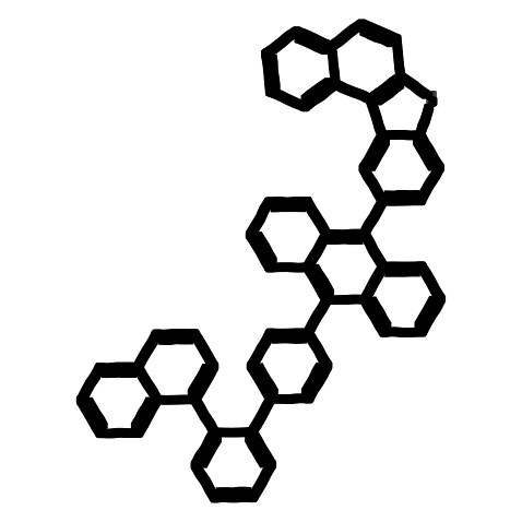 c1ccc(-c2cccc3ccccc23)c(-c2ccc(-c3c4ccccc4c(-c4ccc5sc6ccc7ccccc7c6c5c4)c4ccccc34)cc2)c1